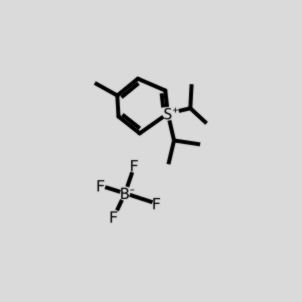 CC1=CC=[S+](C(C)C)(C(C)C)C=C1.F[B-](F)(F)F